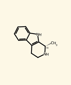 C[C@@H]1NCCc2c1[nH]c1ccccc21